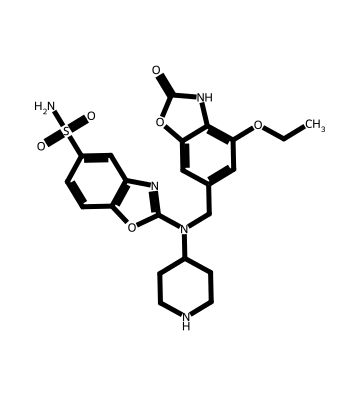 CCOc1cc(CN(c2nc3cc(S(N)(=O)=O)ccc3o2)C2CCNCC2)cc2oc(=O)[nH]c12